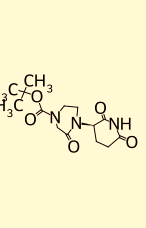 CC(C)(C)OC(=O)N1CCN([C@@H]2CCC(=O)NC2=O)C(=O)C1